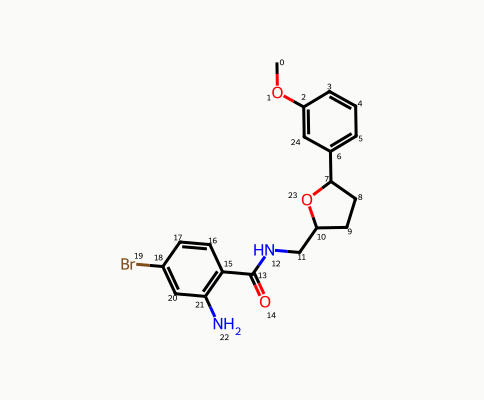 COc1cccc(C2CCC(CNC(=O)c3ccc(Br)cc3N)O2)c1